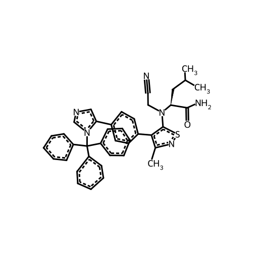 Cc1nsc(N(CC#N)[C@@H](CC(C)C)C(N)=O)c1-c1ccc(-c2cncn2C(c2ccccc2)(c2ccccc2)c2ccccc2)cc1